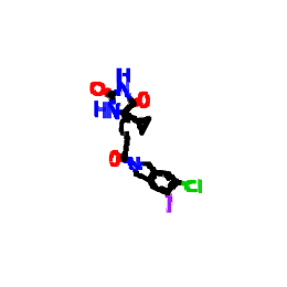 O=C1NC(=O)C(CCC(=O)N2Cc3cc(Cl)c(I)cc3C2)(C2CC2)N1